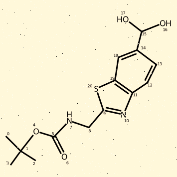 CC(C)(C)OC(=O)NCc1nc2ccc(C(O)O)cc2s1